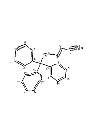 N#CC=CSC(c1ccccc1)(c1ccccc1)c1ccccc1